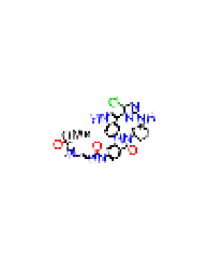 COC(=O)CN(C)CC=CC(=O)Nc1ccc(C(=O)NC2CCC[C@@H](Nc3ncc(Cl)c(-c4c[nH]c5ccccc45)n3)C2)cc1